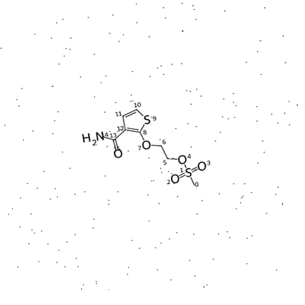 CS(=O)(=O)OCCOc1sccc1C(N)=O